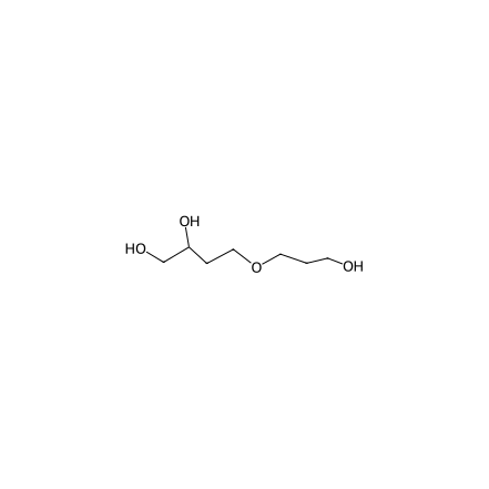 OCCCOCCC(O)CO